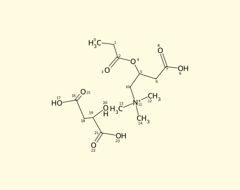 CCC(=O)OC(CC(=O)O)C[N+](C)(C)C.O=C(O)CC(O)C(=O)O